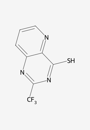 FC(F)(F)c1nc(S)c2ncccc2n1